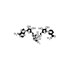 CC=O.NC(=O)C1=CN([C@@H]2O[C@H](COP(=O)(O)OP(=O)(O)OC[C@H]3O[C@@H](n4cnc5c(N)ncnc54)[C@H](O)[C@@H]3O)[C@@H](O)[C@H]2O)C=CC1